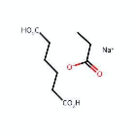 CCC(=O)[O-].O=C(O)CCCCC(=O)O.[Na+]